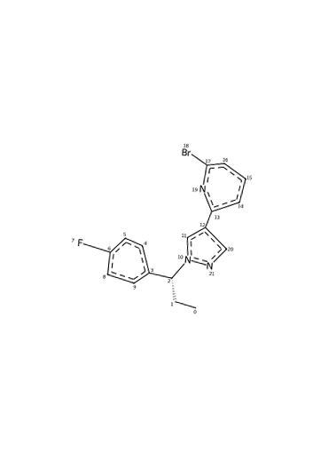 CC[C@H](c1ccc(F)cc1)n1cc(-c2cccc(Br)n2)cn1